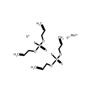 C=CCOP(=S)([S-])OCC=C.C=CCOP(=S)([S-])OCC=C.[Mo+6].[S-2].[S-2]